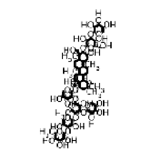 C[C@@H]1O[C@@H](O[C@@H]2[C@@H](O)[C@H](O[C@@H]3[C@@H](O[C@@H]4OC[C@@H](O)[C@H](O)[C@H]4O)[C@@H](O)[C@H](O[C@H]4[C@H](OC(=O)[C@]56CCC(C)(C)CC5C5=CCC7[C@@]8(C)C[C@H](O)[C@H](O[C@@H]9O[C@H](CO)[C@@H](O)[C@H](O[C@@H]%10OC[C@@H](O)[C@H](O)[C@H]%10O)[C@H]9O)[C@@](C)(CO)C8CC[C@@]7(C)[C@]5(C)C[C@H]6O)OC[C@H](O)[C@@H]4O)O[C@H]3C)OC[C@H]2O)[C@H](O)[C@H](O)[C@H]1O